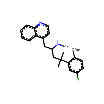 CCNC(Cc1ccnc2ccccc12)CC(C)(C)c1cc(F)ccc1OC